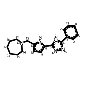 c1ccc(-c2nnc(-c3ccc(CN4CCCCCC4)s3)o2)cc1